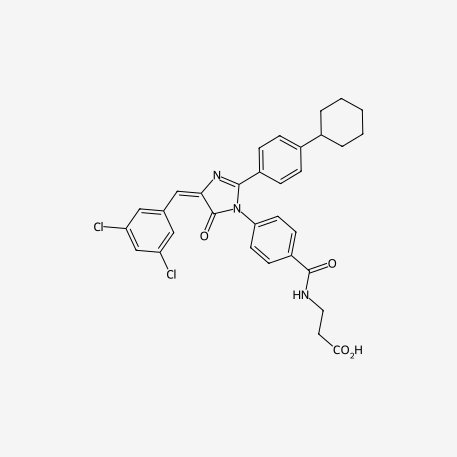 O=C(O)CCNC(=O)c1ccc(N2C(=O)/C(=C\c3cc(Cl)cc(Cl)c3)N=C2c2ccc(C3CCCCC3)cc2)cc1